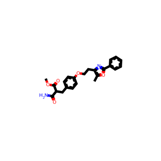 COC(=O)C(Cc1ccc(OCCc2nc(-c3ccccc3)oc2C)cc1)C(N)=O